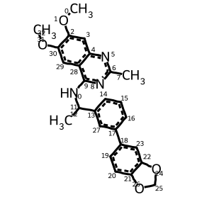 COc1cc2nc(C)nc(NC(C)c3cccc(-c4ccc5c(c4)OCO5)c3)c2cc1OC